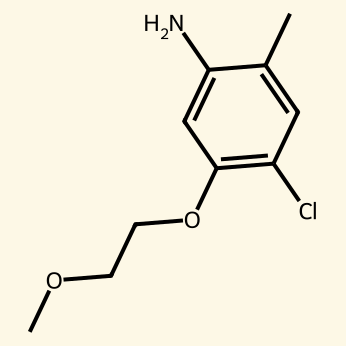 COCCOc1cc(N)c(C)cc1Cl